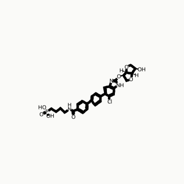 O=C(NCCCCP(=O)(O)O)c1ccc(-c2ccc(-c3cc4nc(O[C@@H]5CO[C@H]6[C@@H]5OC[C@H]6O)[nH]c4cc3Cl)cc2)cc1